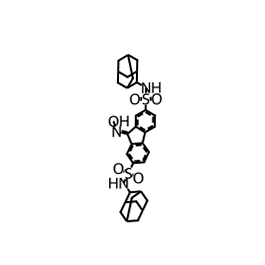 O=S(=O)(NC1C2CC3CC(C2)CC1C3)c1ccc2c(c1)C(=NO)c1cc(S(=O)(=O)NC3C4CC5CC(C4)CC3C5)ccc1-2